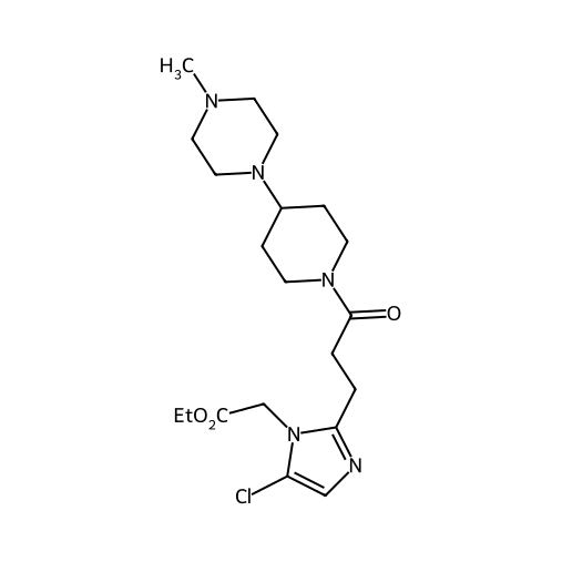 CCOC(=O)Cn1c(Cl)cnc1CCC(=O)N1CCC(N2CCN(C)CC2)CC1